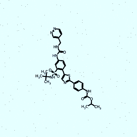 CC(C)OC(=O)Nc1ccc(-c2ncc(-c3ccc(NC(=O)NCc4ccnnc4)cc3S(=O)(=O)NC(C)(C)C)s2)cc1